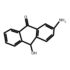 Nc1ccc2c(c1)C(=O)c1ccccc1C2O